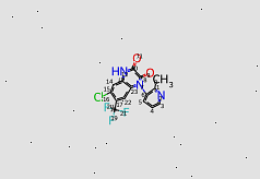 Cc1ncccc1-n1c(=O)c(=O)[nH]c2cc(Cl)c(C(F)(F)F)cc21